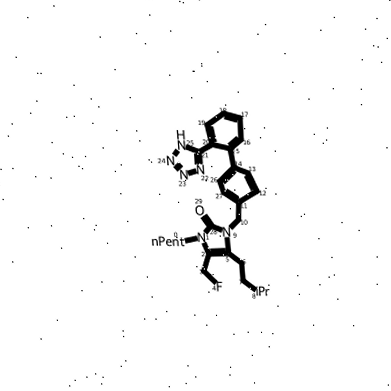 CCCCCn1c(CF)c(CCC(C)C)n(Cc2ccc(-c3ccccc3-c3nnn[nH]3)cc2)c1=O